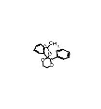 CC(=O)OC1(c2ccccc2)OCCOC1c1ccccc1